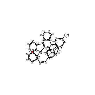 N#Cc1ccc(-c2ccc3c(c2)C2(C4=C(c5ccccc5C5C=CC=CC45)c4ccccc42)c2ccccc2C=C3)cc1